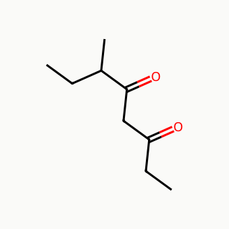 CCC(=O)CC(=O)C(C)CC